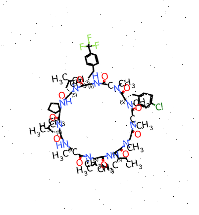 CC[C@H](C)[C@@H]1NC(=O)[C@H](C(C)C)N(C)C(=O)C[C@@H](C)NC(=O)[C@H](CC(C)C)N(C)C(=O)C2(CCCC2)NC(=O)[C@H](CC(C)C)N(C)C(=O)[C@H](CCc2ccc(C(F)(F)F)cc2)NC(=O)CN(C)C(=O)[C@H](Cc2ccc(Cl)cc2)N(C)C(=O)CN(C)C(=O)CN(C)C1=O